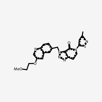 COCCOc1cnc2ccc(Cn3nnc4ccn(-c5cc(C)ns5)c(=O)c43)cc2c1